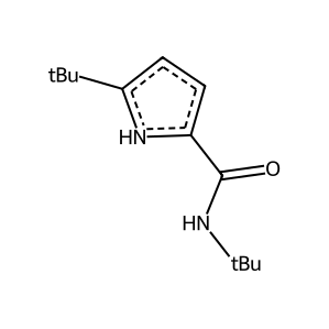 CC(C)(C)NC(=O)c1ccc(C(C)(C)C)[nH]1